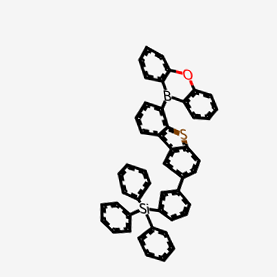 c1ccc([Si](c2ccccc2)(c2ccccc2)c2cccc(-c3ccc4sc5c(B6c7ccccc7Oc7ccccc76)cccc5c4c3)c2)cc1